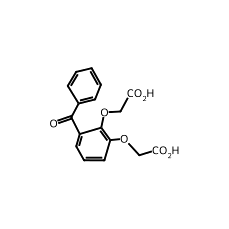 O=C(O)COc1cccc(C(=O)c2ccccc2)c1OCC(=O)O